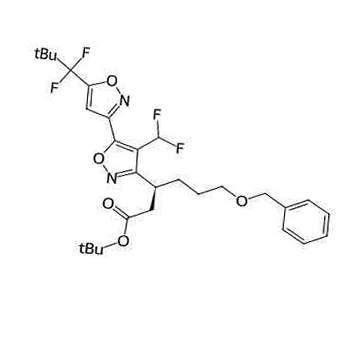 CC(C)(C)OC(=O)C[C@H](CCCOCc1ccccc1)c1noc(-c2cc(C(F)(F)C(C)(C)C)on2)c1C(F)F